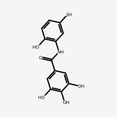 O=C(Nc1cc(S)ccc1O)c1cc(O)c(O)c(O)c1